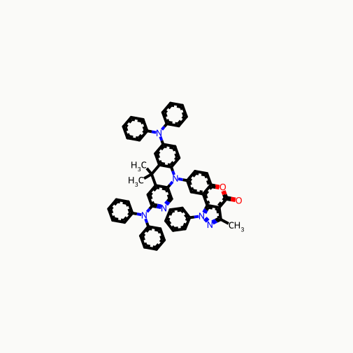 Cc1nn(-c2ccccc2)c2c1c(=O)oc1ccc(N3c4ccc(N(c5ccccc5)c5ccccc5)cc4C(C)(C)c4cc(N(c5ccccc5)c5ccccc5)ncc43)cc12